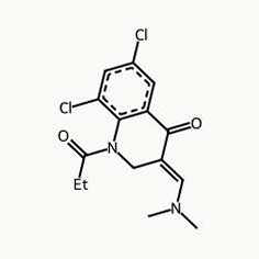 CCC(=O)N1CC(=CN(C)C)C(=O)c2cc(Cl)cc(Cl)c21